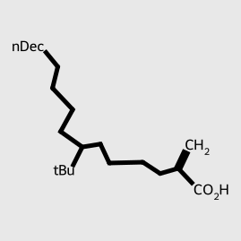 C=C(CCCCC(CCCCCCCCCCCCCC)C(C)(C)C)C(=O)O